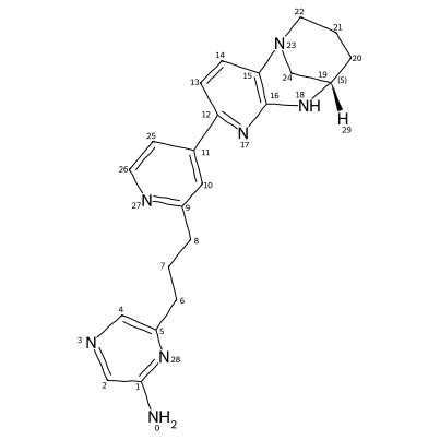 Nc1cncc(CCCc2cc(-c3ccc4c(n3)N[C@H]3CCCN4C3)ccn2)n1